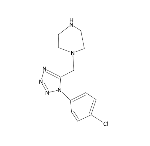 Clc1ccc(-n2nnnc2CN2CCNCC2)cc1